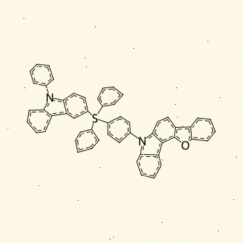 c1ccc(-n2c3ccccc3c3cc(S(c4ccccc4)(c4ccccc4)c4ccc(-n5c6ccccc6c6c7oc8ccccc8c7ccc65)cc4)ccc32)cc1